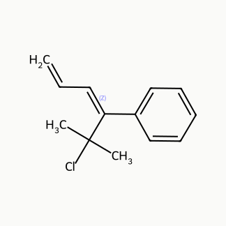 C=C/C=C(/c1ccccc1)C(C)(C)Cl